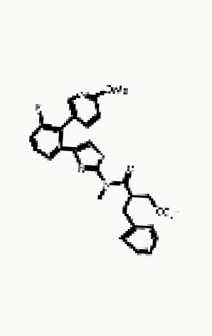 COc1ccc(-c2c(F)cccc2-c2csc(N(C)C(=O)C(CC(=O)O)Cc3ccccc3)n2)cn1